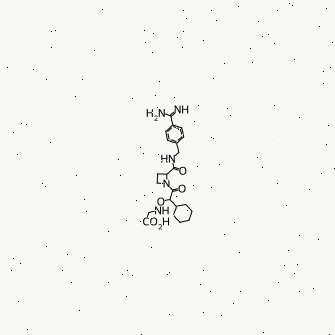 N=C(N)c1ccc(CNC(=O)C2CCN2C(=O)C(ONCC(=O)O)C2CCCCC2)cc1